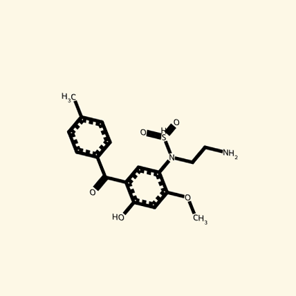 COc1cc(O)c(C(=O)c2ccc(C)cc2)cc1N(CCN)[SH](=O)=O